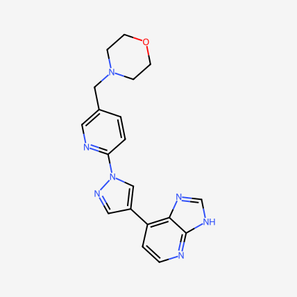 c1cc(-c2cnn(-c3ccc(CN4CCOCC4)cn3)c2)c2nc[nH]c2n1